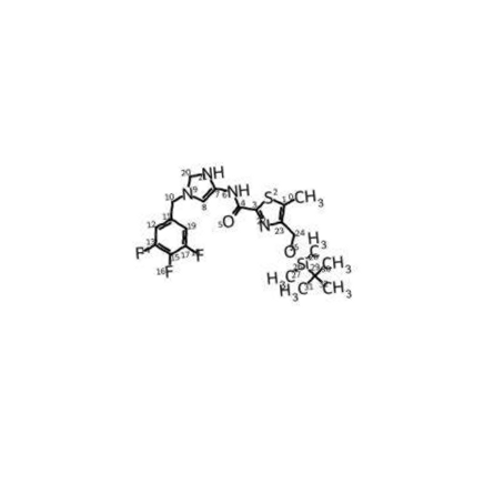 Cc1sc(C(=O)NC2=CN(Cc3cc(F)c(F)c(F)c3)CN2)nc1CO[Si](C)(C)C(C)(C)C